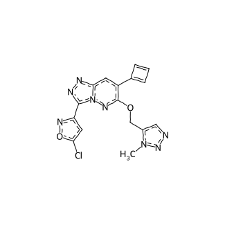 Cn1nncc1COc1nn2c(-c3cc(Cl)on3)nnc2cc1C1=CC=C1